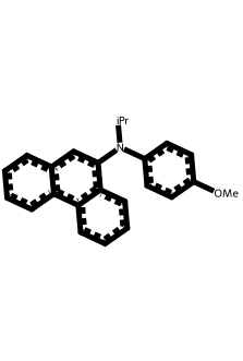 COc1ccc(N(c2cc3ccccc3c3ccccc23)C(C)C)cc1